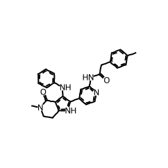 Cc1ccc(CC(=O)Nc2cc(-c3[nH]c4c(c3Nc3ccccc3)C(=O)N(C)CC4)ccn2)cc1